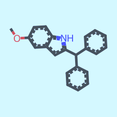 COc1ccc2[nH]c(C(c3ccccc3)c3ccccc3)cc2c1